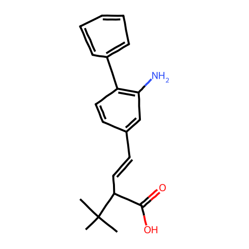 CC(C)(C)C(C=Cc1ccc(-c2ccccc2)c(N)c1)C(=O)O